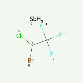 FC(F)(F)C(Cl)Br.[SbH3]